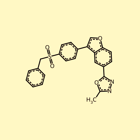 Cc1nnc(-c2ccc3occ(-c4ccc(S(=O)(=O)Cc5ccccc5)cc4)c3c2)o1